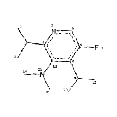 CC(C)c1ncc(F)c(C(C)C)c1N(C)C